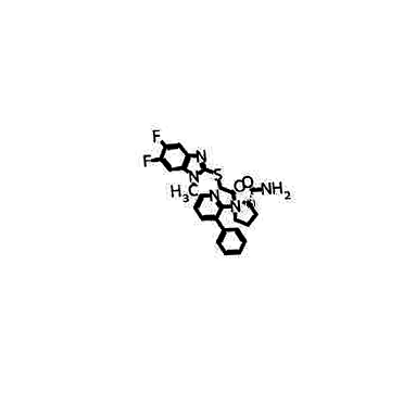 Cn1c(SCC(=O)[N+]2(c3ncccc3-c3ccccc3)CCC[C@H]2C(N)=O)nc2cc(F)c(F)cc21